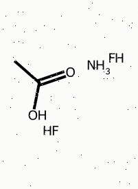 CC(=O)O.F.F.N